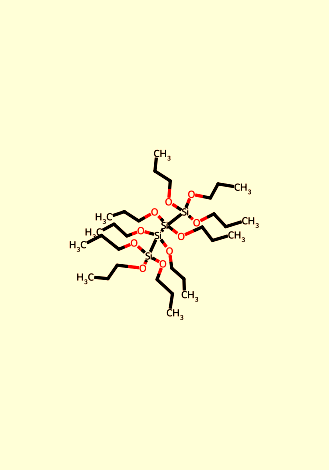 CCCO[Si](OCCC)(OCCC)[Si](OCCC)(OCCC)[Si](OCCC)(OCCC)[Si](OCCC)(OCCC)OCCC